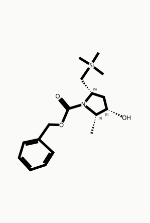 C[C@H]1[C@@H](O)C[C@@H](C[Si](C)(C)C)N1C(=O)OCc1ccccc1